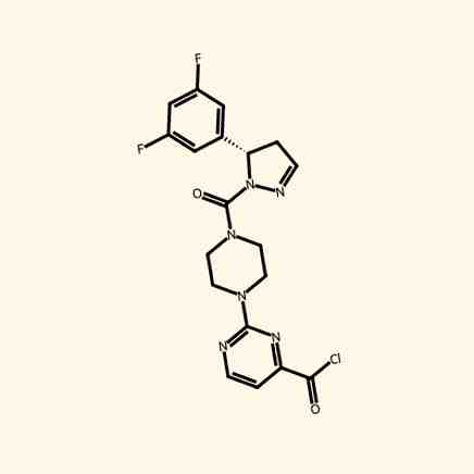 O=C(Cl)c1ccnc(N2CCN(C(=O)N3N=CC[C@H]3c3cc(F)cc(F)c3)CC2)n1